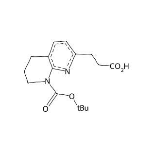 CC(C)(C)OC(=O)N1CCCc2ccc(CCC(=O)O)nc21